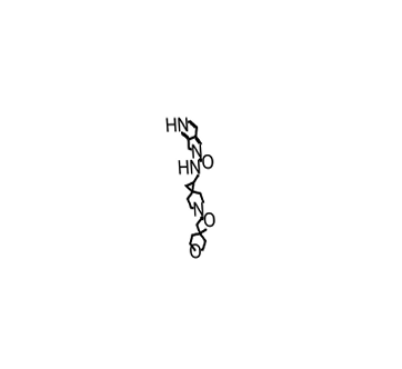 CC1(CC(=O)N2CCC3(CC2)CC3CNC(=O)N2C=C3C=CNC=C3C2)CCOCC1